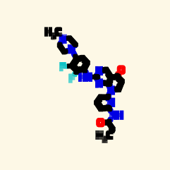 C=CC(=O)Nc1cccc(-n2ccc(=O)c3cnc(Nc4ccc(N5CCN(C)CC5)c(F)c4F)nc32)n1